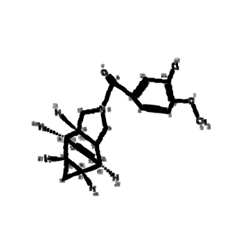 COc1ccc(C(=O)N2CC3[C@@H](C2)[C@H]2C=C[C@@H]3[C@@H]3C[C@H]23)cc1Cl